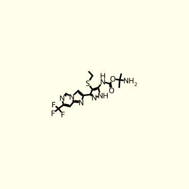 CCSc1c(-c2cn3cnc(C(F)(F)F)cc3n2)n[nH]c1NC(=O)OC(C)(C)N